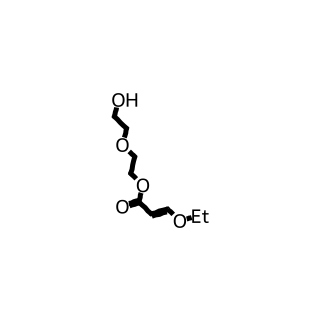 CCOC=CC(=O)OCCOCCO